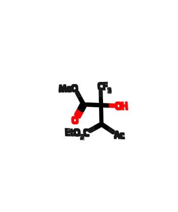 CCOC(=O)C(C(C)=O)C(O)(C(=O)OC)C(F)(F)F